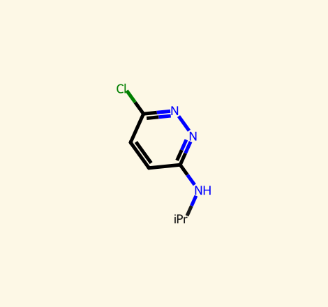 CC(C)Nc1ccc(Cl)nn1